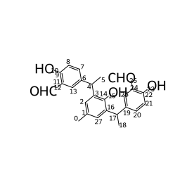 Cc1cc(C(C)c2ccc(O)c(C=O)c2)c(O)c(C(C)c2ccc(O)c(C=O)c2)c1